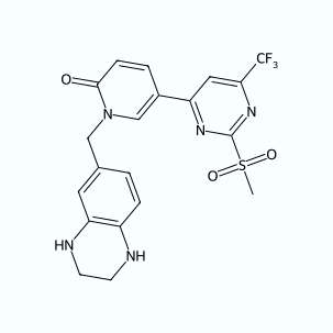 CS(=O)(=O)c1nc(-c2ccc(=O)n(Cc3ccc4c(c3)NCCN4)c2)cc(C(F)(F)F)n1